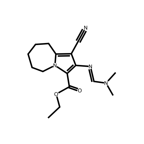 CCOC(=O)c1c(N=CN(C)C)c(C#N)c2n1CCCCC2